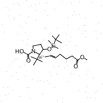 COC(=O)CCCC=CC[C@@]1(C(C)(C)C)C(O[Si](C)(C)C(C)(C)C)CCN1C(=O)O